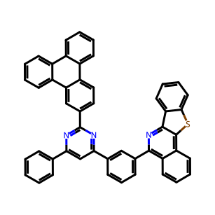 c1ccc(-c2cc(-c3cccc(-c4nc5c6ccccc6sc5c5ccccc45)c3)nc(-c3ccc4c5ccccc5c5ccccc5c4c3)n2)cc1